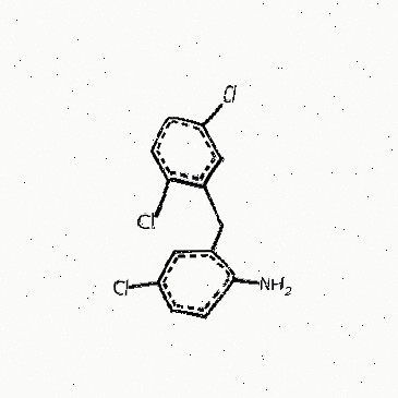 Nc1ccc(Cl)cc1Cc1cc(Cl)ccc1Cl